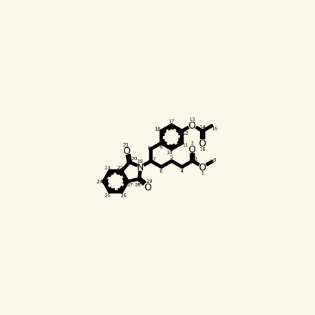 COC(=O)CCCC(Cc1ccc(OC(C)=O)cc1)N1C(=O)c2ccccc2C1=O